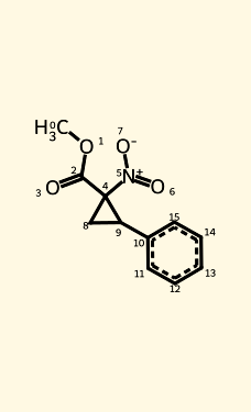 COC(=O)C1([N+](=O)[O-])CC1c1ccccc1